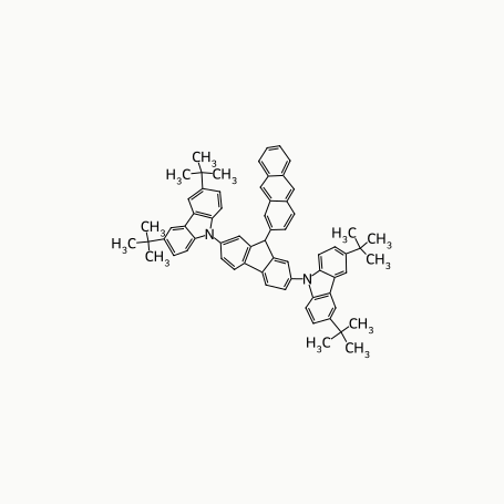 CC(C)(C)c1ccc2c(c1)c1cc(C(C)(C)C)ccc1n2-c1ccc2c(c1)C(c1ccc3cc4ccccc4cc3c1)c1cc(-n3c4ccc(C(C)(C)C)cc4c4cc(C(C)(C)C)ccc43)ccc1-2